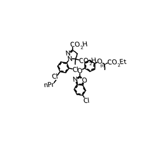 CC1(C(=O)O)CC(C(=O)O)=NN1c1ccc(Cl)cc1Cl.CCCC.CCOC(=O)[C@@H](C)Oc1ccc(Oc2nc3ccc(Cl)cc3o2)cc1